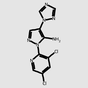 Nc1c(-n2cncn2)cnn1-c1ncc(Cl)cc1Cl